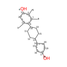 Cc1cc(O)c(C)c(C)c1C1CCC(c2ccc(O)cc2)CC1